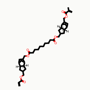 C=CC(=O)OCC1C[C@@H]2C3CC(CC3COC(=O)CCCCCCCCC(=O)OCC3C[C@@H]4C5CC(CC5COC(=O)C(=C)C)[C@@H]4C3)[C@@H]2C1